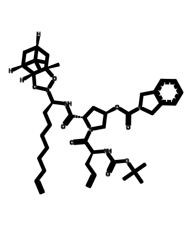 C=CCCCCCC[C@H](NC(=O)[C@@H]1C[C@@H](OC(=O)N2Cc3ccccc3C2)CN1C(=O)[C@H](CC=C)NC(=O)OC(C)(C)C)B1O[C@@H]2[C@@H]3C[C@H](C[C@]2(C)O1)C3(C)C